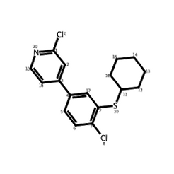 Clc1cc(-c2ccc(Cl)c(SC3CCCCC3)c2)ccn1